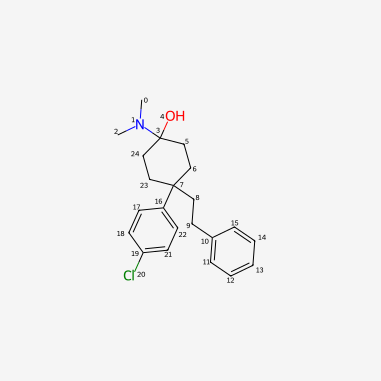 CN(C)C1(O)CCC(CCc2ccccc2)(c2ccc(Cl)cc2)CC1